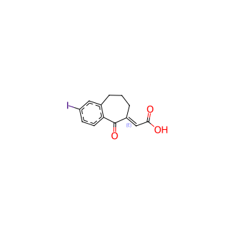 O=C(O)/C=C1\CCCc2cc(I)ccc2C1=O